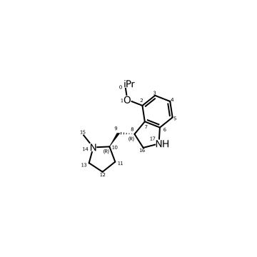 CC(C)Oc1cccc2c1[C@@H](C[C@H]1CCCN1C)CN2